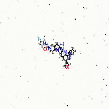 O=C(CN1CCC(F)C1)N1CCc2nc(Nc3ncc4cc(C5COC5)nc(N5C6CCC5CC6)c4n3)ccc2C1